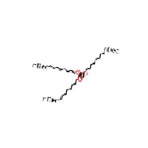 CCCCCCCCCCCCCCCCCC[O][Al]([O]CCCCCCCCCCCCCCCCCC)[O]CCCCCCCCCCCCCCCCCC